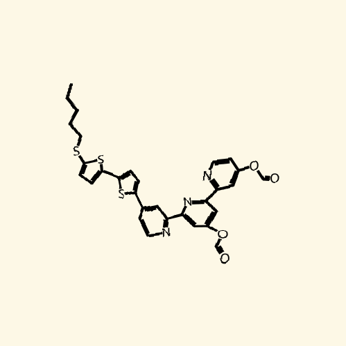 CCCCCSc1ccc(-c2ccc(-c3ccnc(-c4cc(OC=O)cc(-c5cc(OC=O)ccn5)n4)c3)s2)s1